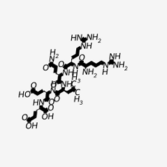 CC(C)C[C@H](NC(=O)[C@H](CCC(N)=O)NC(=O)[C@H](CCCNC(=N)N)NC(=O)[C@@H](N)CCCNC(=N)N)C(=O)N[C@@H](CCC(=O)O)C(=O)N[C@@H](CCC(=O)O)C(=O)O